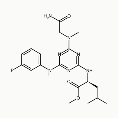 COC(=O)[C@H](CC(C)C)Nc1nc(Nc2cccc(F)c2)nc(N(C)CC(N)=O)n1